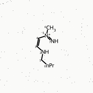 CCCCN/C=C\[N+](C)=N